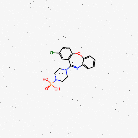 O=P(O)(O)N1CCN(C2=Nc3ccccc3Oc3ccc(Cl)cc32)CC1